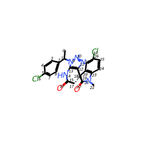 CC(c1ccc(Cl)cc1)n1nnc2c1NC(=O)C[C@]21C(=O)N(C)c2ccc(Cl)cc21